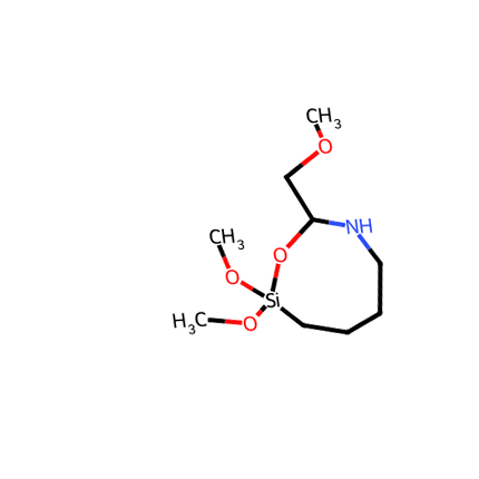 COCC1NCCCC[Si](OC)(OC)O1